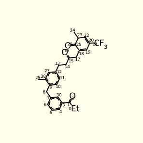 CCC(=O)c1cccc(Cc2ccc(CCC(=O)CC3=CC(C(F)(F)F)=CC(C)C3=O)cc2C)c1